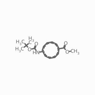 COC(=O)c1ccccc(NC(=O)OC(C)(C)C)cccc1